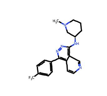 CN1CCC[C@@H](Nc2nnc(-c3ccc(C(F)(F)F)cc3)c3ccncc23)C1